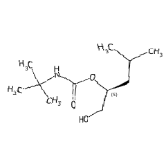 CC(C)C[C@@H](CO)OC(=O)NC(C)(C)C